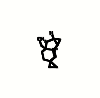 CC[C@]12CCC3(C=[N+]1C1C[C@H]1C2)CC3